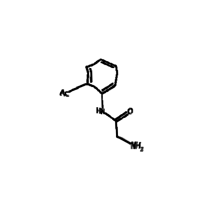 CC(=O)c1ccccc1NC(=O)CN